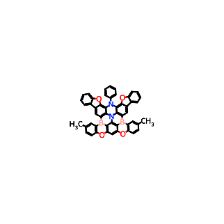 Cc1ccc2c(c1)B1c3cc4c(oc5ccccc54)c4c3N3c5c1c(cc1c5B(c5cc(C)ccc5O1)c1cc5c(oc6ccccc65)c(c13)N4c1ccccc1)O2